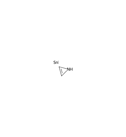 C1=CN1.[Sn]